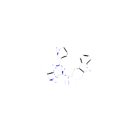 CC(C)c1cnn2c(N[C@@H]3CCc4[nH]c5ccccc5c4C3)nc(-c3cccnc3)nc12